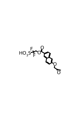 O=C(OCC(F)(F)S(=O)(=O)O)c1ccc2cc(OCC3CO3)ccc2c1